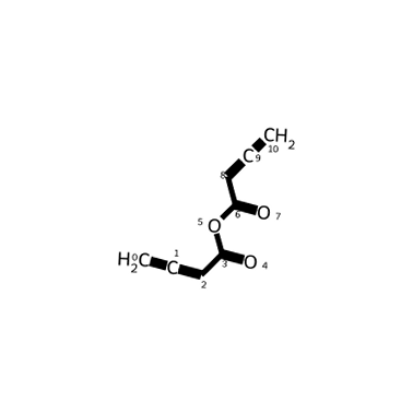 C=C=CC(=O)OC(=O)C=C=C